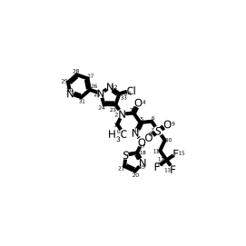 CCN(C(=O)C(CS(=O)(=O)CCC(F)(F)F)=NOc1nccs1)c1cn(-c2cccnc2)nc1Cl